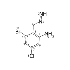 N=NCc1c(N)cc(Cl)cc1Br